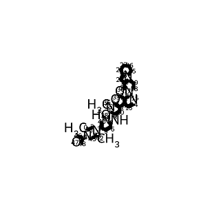 C[C@@H]1CN(c2ccc(NC3=CC(c4ccnc(N5CCc6c(cc7n6CCCC7)C5=O)c4C=O)=CN(C)C3O)nc2)[C@@H](C)CN1C1COC1